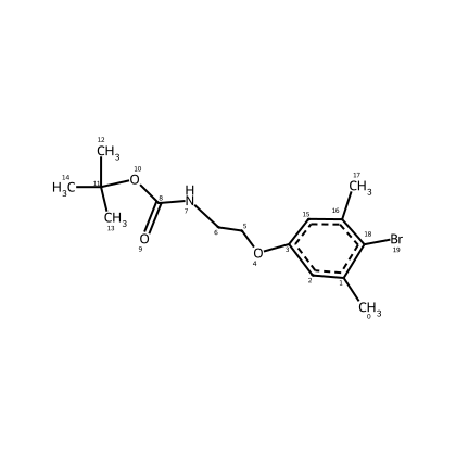 Cc1cc(OCCNC(=O)OC(C)(C)C)cc(C)c1Br